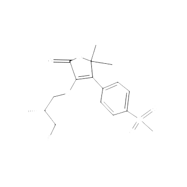 C[C@@H](CF)COC1=C(c2ccc(S(C)(=O)=O)cc2)C(C)(C)OC1=O